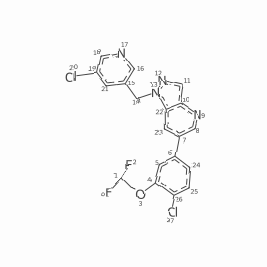 FC(F)Oc1cc(-c2cnc3cnn(Cc4cncc(Cl)c4)c3c2)ccc1Cl